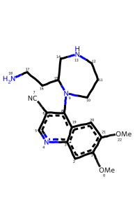 COc1cc2ncc(C#N)c(N3CCCNCC3CCN)c2cc1OC